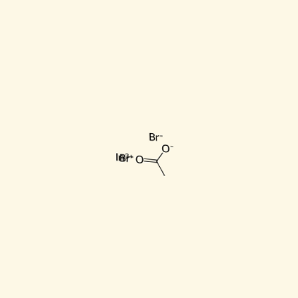 CC(=O)[O-].[Br-].[Br-].[In+3]